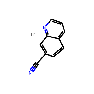 N#Cc1ccc2cccnc2c1.[H+]